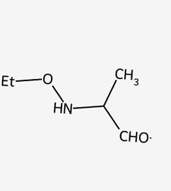 CCONC(C)[C]=O